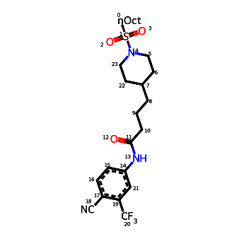 CCCCCCCCS(=O)(=O)N1CCC(CCCC(=O)Nc2ccc(C#N)c(C(F)(F)F)c2)CC1